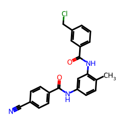 Cc1ccc(NC(=O)c2ccc(C#N)cc2)cc1NC(=O)c1cccc(CCl)c1